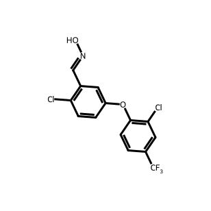 ON=Cc1cc(Oc2ccc(C(F)(F)F)cc2Cl)ccc1Cl